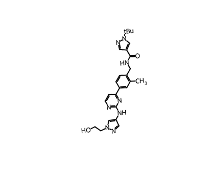 Cc1cc(-c2ccnc(Nc3cnn(CCO)c3)n2)ccc1CNC(=O)c1cnn(C(C)(C)C)c1